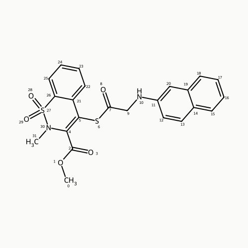 COC(=O)C1=C(SC(=O)CNc2ccc3ccccc3c2)c2ccccc2S(=O)(=O)N1C